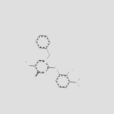 COc1cn(Cc2ccccc2)c(Nc2cccc(N(C)C)c2C)nc1=O